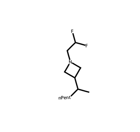 CCCCCC(C)C1CN(CC(F)F)C1